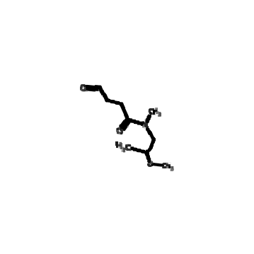 COC(C)CN(C)C(=O)CCC=O